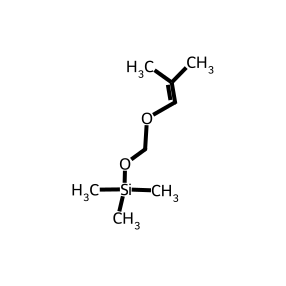 CC(C)=COCO[Si](C)(C)C